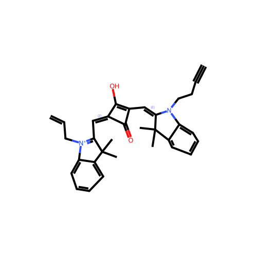 C#CCCN1/C(=C/C2=C(O)C(=C/C3=[N+](CC=C)c4ccccc4C3(C)C)/C2=O)C(C)(C)c2ccccc21